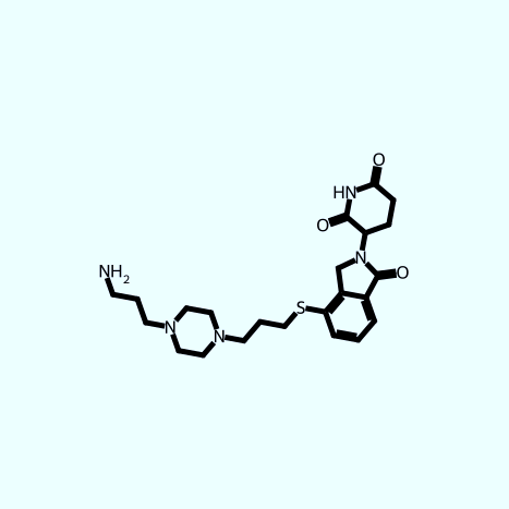 NCCCN1CCN(CCCSc2cccc3c2CN(C2CCC(=O)NC2=O)C3=O)CC1